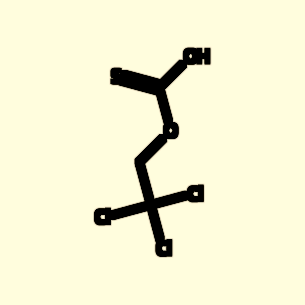 OC(=S)OCC(Cl)(Cl)Cl